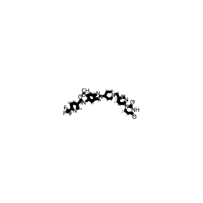 COc1cc2nn(C3CCN(Cc4ccc(N5CCC(=O)NC5=O)nn4)CC3)cc2cc1NC(=O)c1ccc(C(F)(F)F)nc1